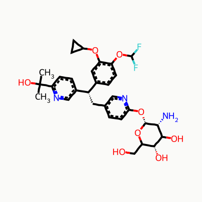 CC(C)(O)c1ccc([C@@H](Cc2ccc(O[C@H]3OC(CO)[C@@H](O)C(O)[C@H]3N)nc2)c2ccc(OC(F)F)c(OC3CC3)c2)cn1